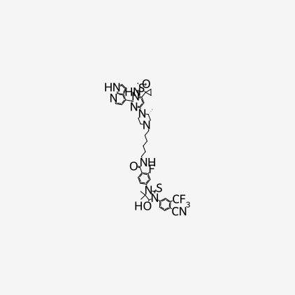 C[C@@H]1CN(CCCCCCNC(=O)c2ccc(N3C(=S)N(c4ccc(C#N)c(C(F)(F)F)c4)C(O)C3(C)C)cc2F)CCN1c1cc(C2([S@](C)(=N)=O)CC2)nc(-c2ccnc3[nH]ccc23)n1